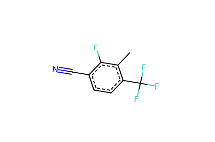 Cc1c(C(F)(F)F)ccc(C#N)c1F